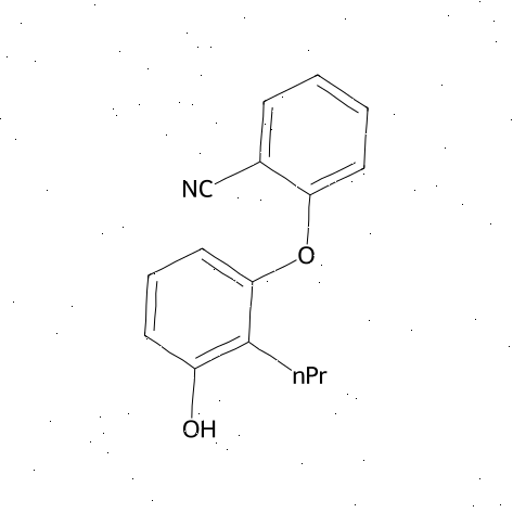 CCCc1c(O)cccc1Oc1ccccc1C#N